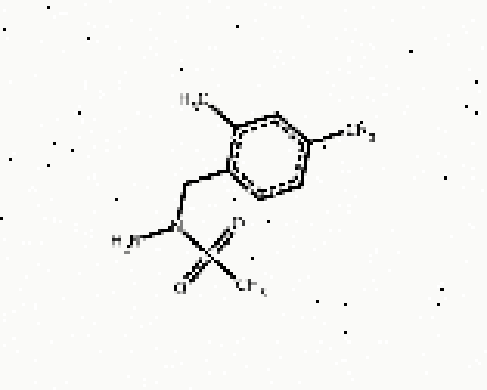 Cc1ccc(CN(N)S(C)(=O)=O)c(C)c1